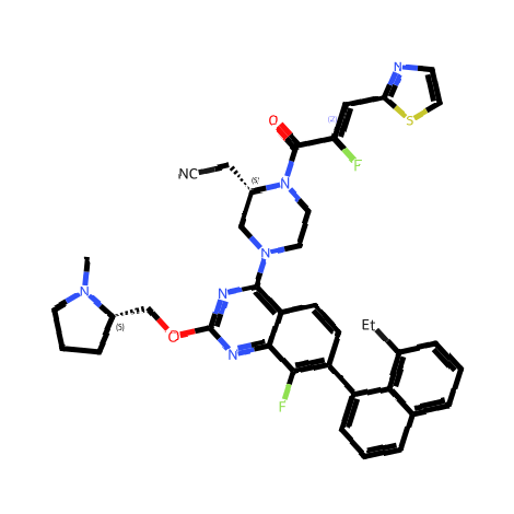 CCc1cccc2cccc(-c3ccc4c(N5CCN(C(=O)/C(F)=C/c6nccs6)[C@@H](CC#N)C5)nc(OC[C@@H]5CCCN5C)nc4c3F)c12